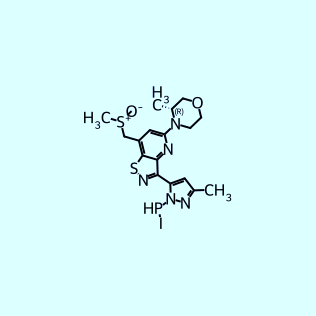 Cc1cc(-c2nsc3c(C[S+](C)[O-])cc(N4CCOC[C@H]4C)nc23)n(PI)n1